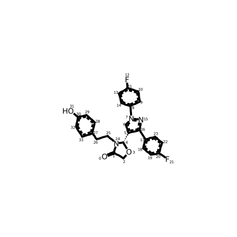 O=C1CO[C@@H](c2cn(-c3ccc(F)cc3)nc2-c2ccc(F)cc2)N1CCc1ccc(O)cc1